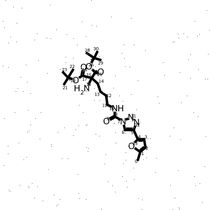 Cc1ccc(-c2cn(C(=O)NCCCCC(N)(C(=O)OC(C)(C)C)C(=O)OC(C)(C)C)nn2)o1